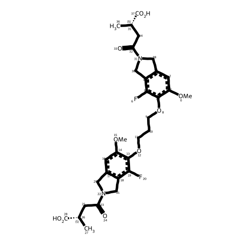 COc1cc2c(c(F)c1OCCCOc1c(OC)cc3c(c1F)CN(C(=O)C[C@H](C)C(=O)O)C3)CN(C(=O)C[C@H](C)C(=O)O)C2